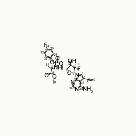 C#Cc1cn([C@@H]2O[C@H](COP(=O)(NC(C)C(=O)OC)Oc3ccc(F)cc3)[C@@H](O)[C@@]2(C)F)c2ncnc(N)c12